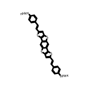 CCCCCCc1ccc(/C=C/c2cc3sc4cc5c(cc4c3s2)sc2cc(/C=C/c3ccc(CCCCCC)cc3)sc25)cc1